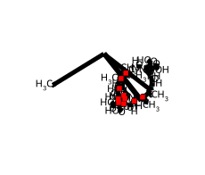 CCc1c2c(CC)c3c(CC)c1CNC(=O)Nc1cc(C(=O)O)c(C(=O)O)cc1NC(=O)NCc1c(CC)c(c(CC)c(c1CC)CNC(=O)Nc1cc(C(=O)O)c(C(=O)O)cc1NC(=O)NC3)CNC(=O)Nc1cc(C(=O)O)c(C(=O)O)cc1NC(=O)NC2